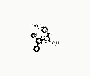 CCOC(=O)N1CCN(C(=O)C(CCC(=O)O)NC(=O)c2cc(-n3cccn3)cc(-c3ccccc3)n2)CC1